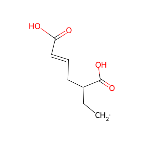 [CH2]CC(CC=CC(=O)O)C(=O)O